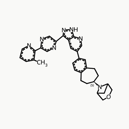 Cc1cccnc1-c1cnc(-c2n[nH]c3ncc(-c4ccc5c(c4)CC[C@@H](N4C6COCC4C6)CC5)cc23)cn1